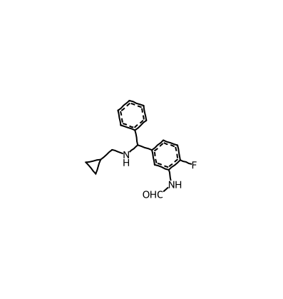 O=CNc1cc(C(NCC2CC2)c2ccccc2)ccc1F